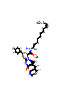 CCCCCCCC/C=C\CCCCCCCCNC(=O)Cn1cc(Cc2cncnc2)c(=O)nc1SCc1ccc(F)cc1